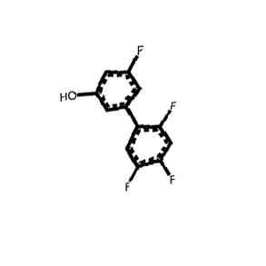 Oc1cc(F)cc(-c2cc(F)c(F)cc2F)c1